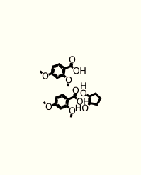 COc1ccc(C(=O)O)c(OC)c1.COc1ccc(C(=O)O)c(OC)c1.OC1CCCC1O